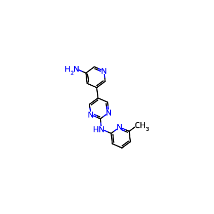 Cc1cccc(Nc2ncc(-c3cncc(N)c3)cn2)n1